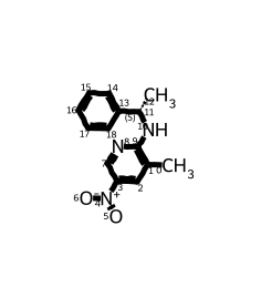 Cc1cc([N+](=O)[O-])cnc1N[C@@H](C)c1ccccc1